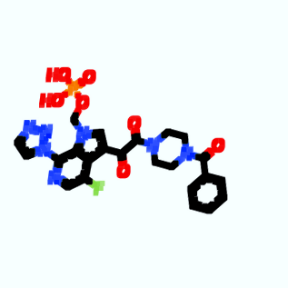 O=C(C(=O)N1CCN(C(=O)c2ccccc2)CC1)c1cn(COP(=O)(O)O)c2c(-n3ccnn3)ncc(F)c12